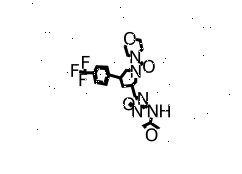 O=C(N1CCOCC1)N1CC(c2ccc(C(F)(F)F)cc2)CC(c2nc(NC3COC3)no2)C1